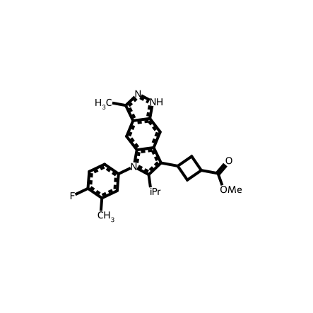 COC(=O)C1CC(c2c(C(C)C)n(-c3ccc(F)c(C)c3)c3cc4c(C)n[nH]c4cc23)C1